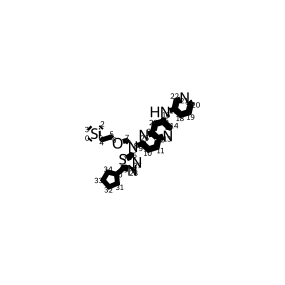 C[Si](C)(C)CCOCN(c1ccc2ncc(Nc3cc[c]nc3)cc2n1)c1nnc(C2CCCC2)s1